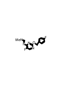 CN/C=N/c1nc(OCc2ccc(F)cc2)ncc1F